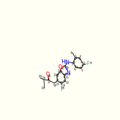 Cc1cc(F)ccc1Nc1nc2cc(F)c(CC(=O)C(C)C)cc2o1